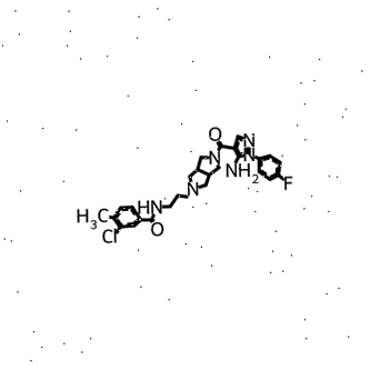 Cc1ccc(C(=O)NCCCN2CC3CN(C(=O)c4cnn(-c5ccc(F)cc5)c4N)CC3C2)cc1Cl